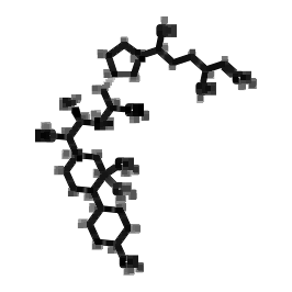 C=CC(O)CCC(O)N1CC[C@@H](CC(C)N[C@H](C(C)C)C(O)N2CCC(C3CCC(C)CC3)C(C)(C)C2)C1